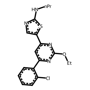 CCCNc1ncc(-c2cc(-c3ccccc3Cl)nc(OCC)n2)s1